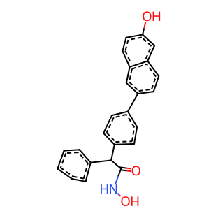 O=C(NO)C(c1ccccc1)c1ccc(-c2ccc3cc(O)ccc3c2)cc1